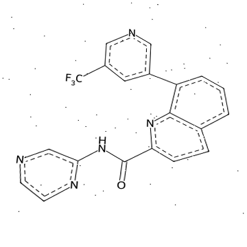 O=C(Nc1cnccn1)c1ccc2cccc(-c3cncc(C(F)(F)F)c3)c2n1